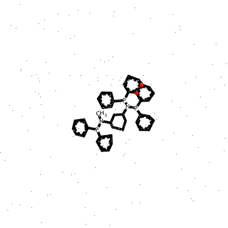 CN(C1CCCC(N(P(c2ccccc2)c2ccccc2)P(c2ccccc2)c2ccccc2)C1)P(c1ccccc1)c1ccccc1